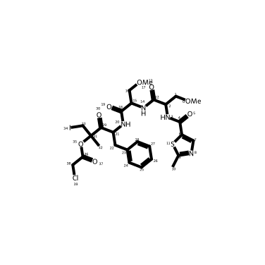 COCC(NC(=O)c1cnc(C)s1)C(=O)NC(COC)C(=O)NC(Cc1ccccc1)C(=O)C(C)(CI)OC(=O)CCl